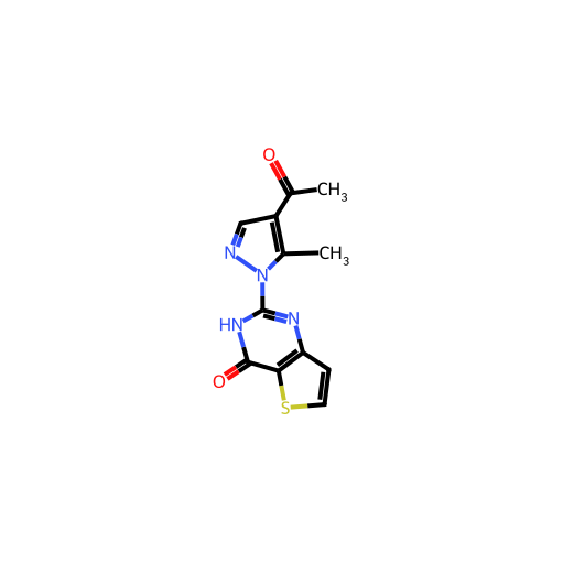 CC(=O)c1cnn(-c2nc3ccsc3c(=O)[nH]2)c1C